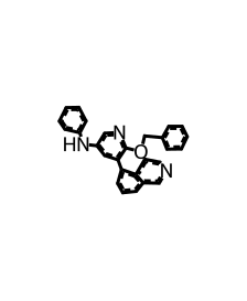 c1ccc(COc2ncc(Nc3ccccc3)cc2-c2cccc3cnccc23)cc1